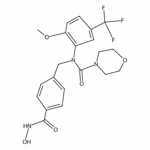 COc1ccc(C(F)(F)F)cc1N(Cc1ccc(C(=O)NO)cc1)C(=O)N1CCOCC1